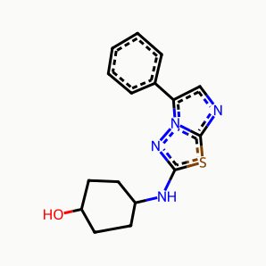 OC1CCC(Nc2nn3c(-c4ccccc4)cnc3s2)CC1